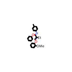 CCC(=C\Oc1ccccc1OC)/C(=N/c1ccc(C)cc1)Oc1ccccc1